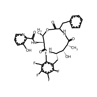 C[C@H]1OC(=O)C(Cc2ccccc2)NC(=O)[C@H](C)[C@H](O)[C@H](Cc2c(F)c(F)c(F)c(F)c2F)NC(=O)[C@H]1NC(=O)c1ncccc1O